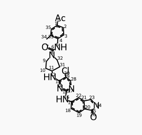 CC(=O)c1ccc(NC(=O)N2CCC(Nc3nc(Nc4ccc5c(c4)C=NC5=O)ncc3Cl)CC2)c(C)c1